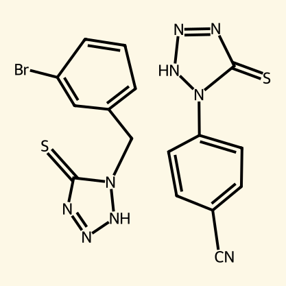 N#Cc1ccc(-n2[nH]nnc2=S)cc1.S=c1nn[nH]n1Cc1cccc(Br)c1